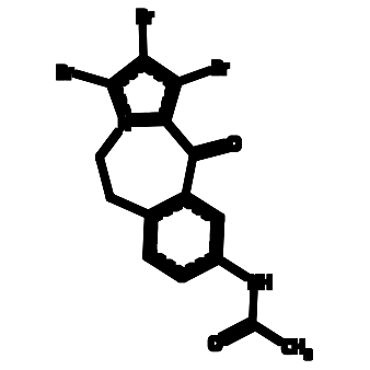 CC(=O)Nc1ccc2c(c1)C(=O)c1c(Br)c(Br)c(Br)n1CC2